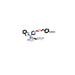 COc1ccc(CCOCCN2CCC(N(C)C3=Nc4ccccc4CS3)CC2)cc1.O=C(O)C=CC(=O)O